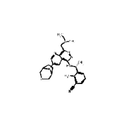 Cc1c(C#N)cccc1[C@@H](C)Nc1nnc(CN(C)C)c2ncc(N3C4CCC3COC4)cc12